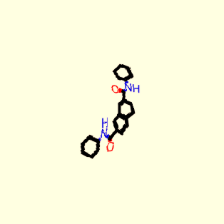 O=C(NC1CCCCC1)C1=Cc2cc(C(=O)NC3CCCCC3)ccc2CC1